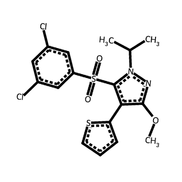 COc1nn(C(C)C)c(S(=O)(=O)c2cc(Cl)cc(Cl)c2)c1-c1cccs1